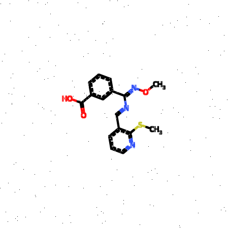 CO/N=C(\N=C\c1cccnc1SC)c1cccc(C(=O)O)c1